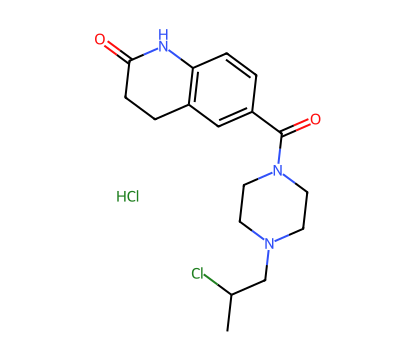 CC(Cl)CN1CCN(C(=O)c2ccc3c(c2)CCC(=O)N3)CC1.Cl